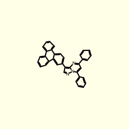 c1ccc(-c2cc(-c3ccccc3)n3ncc(-c4ccc5c6ccccc6c6ccccc6c5c4)c3n2)cc1